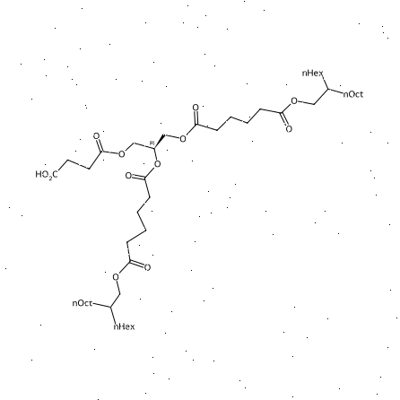 CCCCCCCCC(CCCCCC)COC(=O)CCCCC(=O)OC[C@H](COC(=O)CCC(=O)O)OC(=O)CCCCC(=O)OCC(CCCCCC)CCCCCCCC